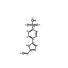 O=Cc1ccc(-c2ccc(S(=O)(=O)O)cc2)o1